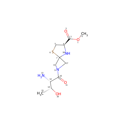 COC(=O)[C@@H]1CSC2(CN(C(=O)[C@@H](N)[C@@H](C)O)C2)N1